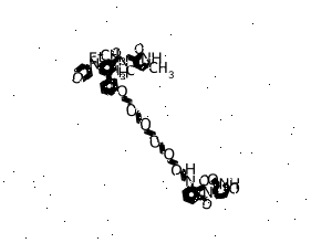 CCN(c1cc(-c2cccc(OCCOCCOCCOCCOCCOCCNc3cccc4c3C(=O)N(C3CCC(=O)NC3=O)C4=O)c2)cc(C(=O)NCc2c(C)cc(C)[nH]c2=O)c1C)C1CCOCC1